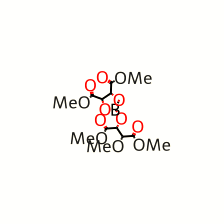 COC(=O)C(OC)C(OB1OC(C(=O)OC)C(C(=O)OC)O1)C(=O)OC